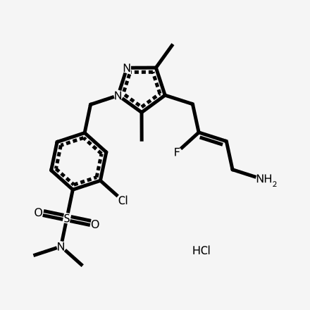 Cc1nn(Cc2ccc(S(=O)(=O)N(C)C)c(Cl)c2)c(C)c1CC(F)=CCN.Cl